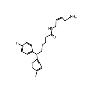 NC/C=C\CNC(=O)CCCCC(c1ccc(F)cc1)c1ccc(F)cc1